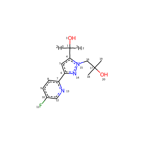 [2H]C([2H])(O)c1cc(-c2ccc(F)cn2)nn1CC(C)(C)O